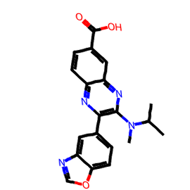 CC(C)N(C)c1nc2cc(C(=O)O)ccc2nc1-c1ccc2ocnc2c1